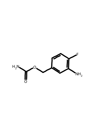 NC(=O)OCc1ccc(F)c(N)c1